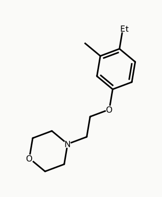 CCc1ccc(OCCN2CCOCC2)cc1C